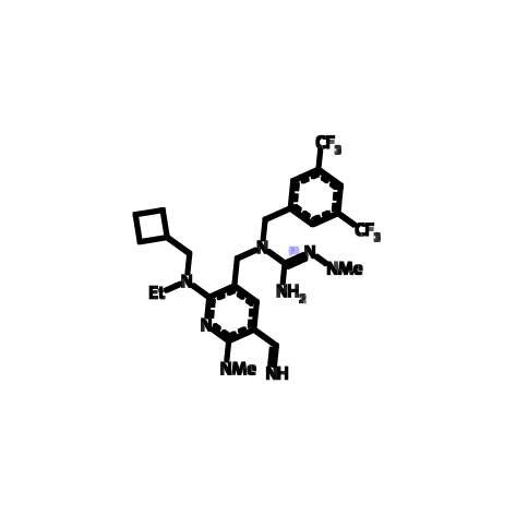 CCN(CC1CCC1)c1nc(NC)c(C=N)cc1CN(Cc1cc(C(F)(F)F)cc(C(F)(F)F)c1)/C(N)=N/NC